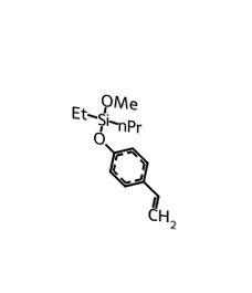 C=Cc1ccc(O[Si](CC)(CCC)OC)cc1